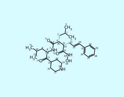 CC(C)C[C@@H](C(=O)NN(CC(C)C)C(=O)C1CCNCC1)[C@H](CC=Cc1ccccc1)C(=O)NO